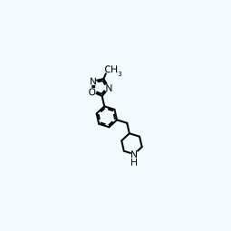 Cc1noc(-c2cccc(CC3CCNCC3)c2)n1